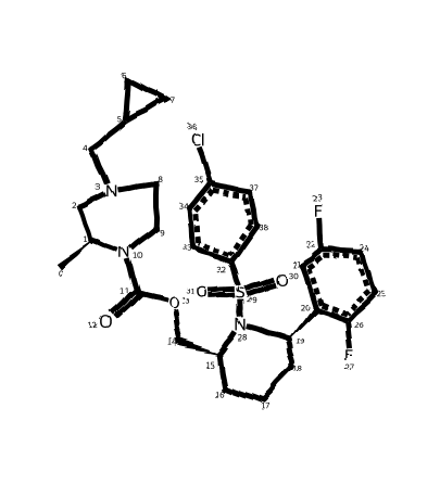 C[C@H]1CN(CC2CC2)CCN1C(=O)OC[C@@H]1CCC[C@H](c2cc(F)ccc2F)N1S(=O)(=O)c1ccc(Cl)cc1